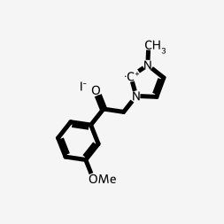 COc1cccc(C(=O)CN2[C+]N(C)C=C2)c1.[I-]